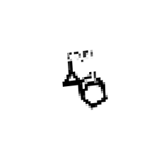 CCOC(=O)C1CC12OC1CCC2C1